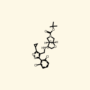 CC(C)(C)OC(=O)N1C[C@@H]2[C@H](C1)OC[C@H]2NCc1c(-c2c(Cl)cccc2Cl)noc1C1CC1